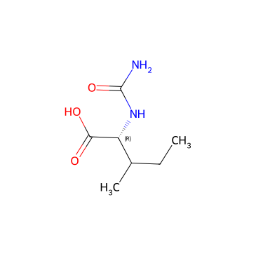 CCC(C)[C@@H](NC(N)=O)C(=O)O